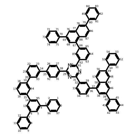 c1ccc(-c2cc(-c3ccccc3)cc(-c3cccc(-c4cccc(-c5ccc(-c6nc(-c7cccc(-c8cc(-c9ccccc9)cc9cc(-c%10ccccc%10)ccc89)c7)nc(-c7cccc(-c8cc(-c9ccccc9)cc9cc(-c%10ccccc%10)ccc89)c7)n6)cc5)c4)c3)c2)cc1